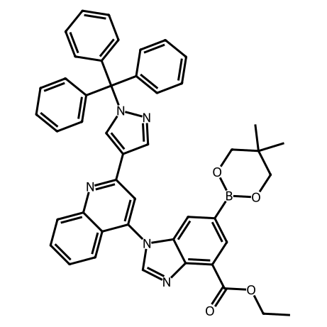 CCOC(=O)c1cc(B2OCC(C)(C)CO2)cc2c1ncn2-c1cc(-c2cnn(C(c3ccccc3)(c3ccccc3)c3ccccc3)c2)nc2ccccc12